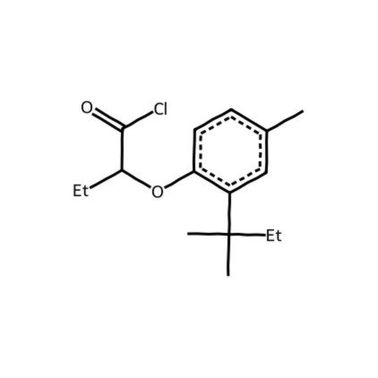 CCC(Oc1ccc(C)cc1C(C)(C)CC)C(=O)Cl